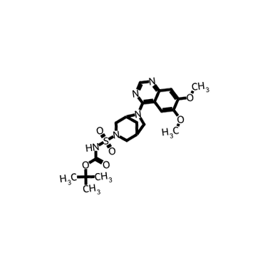 COc1cc2ncnc(N3CC4CC3CN(S(=O)(=O)NC(=O)OC(C)(C)C)C4)c2cc1OC